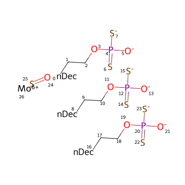 CCCCCCCCCCCCOP([O-])(=S)[S-].CCCCCCCCCCCCOP([O-])(=S)[S-].CCCCCCCCCCCCOP([O-])(=S)[S-].O=S.[Mo+6]